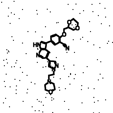 N#Cc1cc(-c2c[nH]c3ncc(-c4cnn(CCN5CCOCC5)c4)cc23)ccc1OCC1COCCO1